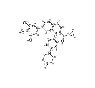 CN1CCN(c2ncc(-c3c(C(=O)C4CC4)cnc4ccc(-c5cc(Cl)c(O)c(Cl)c5)cc34)cn2)CC1